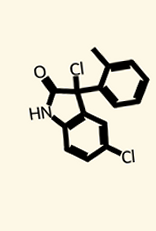 Cc1ccccc1C1(Cl)C(=O)Nc2ccc(Cl)cc21